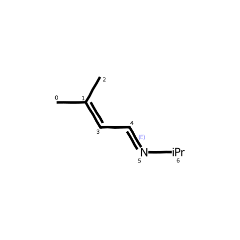 CC(C)=C/C=N/C(C)C